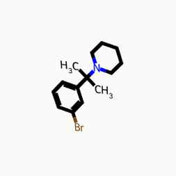 CC(C)(c1cccc(Br)c1)N1CCCCC1